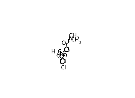 CN(C)C=CC(=O)c1cccc(N(C)S(=O)(=O)c2ccc(Cl)cc2)c1